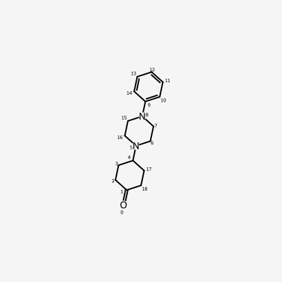 O=C1CCC(N2CCN(c3ccccc3)CC2)CC1